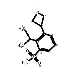 CC(C)c1c(C2COC2)cccc1S(C)(=O)=O